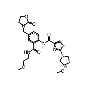 COCCNC(=O)c1cc(CN2CCOC2=O)ccc1NC(=O)c1csc(N2CC[C@H](OC)C2)n1